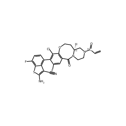 C=C[13C](=O)N1CCN2C(=O)c3cc(F)c(-c4ccc(F)c5sc(N)c(C#N)c45)c(Cl)c3OCC[C@H]2C1